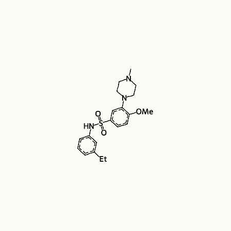 CCc1cccc(NS(=O)(=O)c2ccc(OC)c(N3CCN(C)CC3)c2)c1